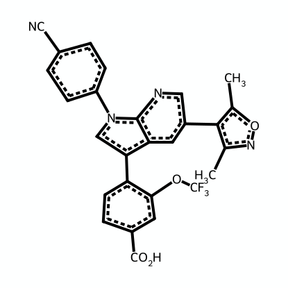 Cc1noc(C)c1-c1cnc2c(c1)c(-c1ccc(C(=O)O)cc1OC(F)(F)F)cn2-c1ccc(C#N)cc1